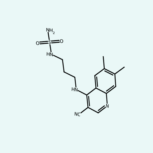 Cc1cc2ncc(C#N)c(NCCCNS(N)(=O)=O)c2cc1C